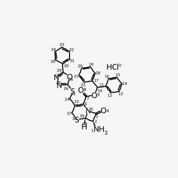 Cl.N[C@@H]1C(=O)N2C(C(=O)OC(c3ccccc3)c3ccccc3)=C(CSc3nnc(-c4ccccc4)o3)CS[C@@H]12